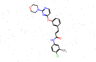 O=C(/C=C/c1cccc(Oc2ccnc(N3CCOCC3)n2)c1)Nc1ccc(Cl)c(C(F)(F)F)c1